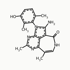 CC1=CNC(=O)c2c(N)n(-c3c(C)ccc(O)c3C)c3nc(C)nc1c23